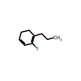 CCCC1=C(F)C=CCC1